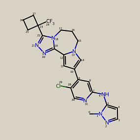 Cn1nccc1Nc1cc(-c2cc3n(c2)CCCn2c-3nnc2C2(C(F)(F)F)CCC2)c(Cl)cn1